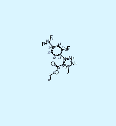 CCOC(=O)c1c(C)nnn1-c1ccc(C(F)F)cc1F